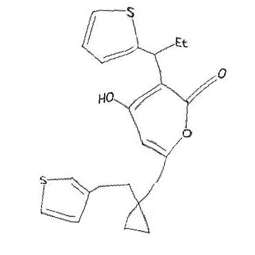 CCC(c1cccs1)c1c(O)cc(CC2(Cc3ccsc3)CC2)oc1=O